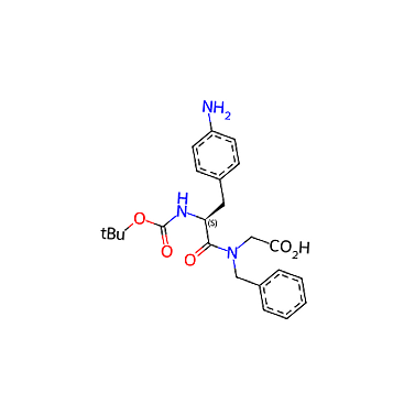 CC(C)(C)OC(=O)N[C@@H](Cc1ccc(N)cc1)C(=O)N(CC(=O)O)Cc1ccccc1